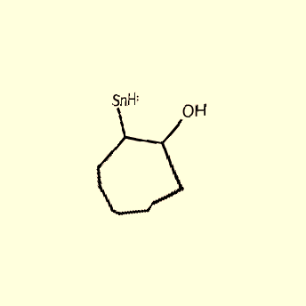 OC1CCCC[CH]1[SnH]